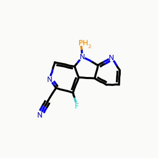 N#Cc1ncc2c(c1F)c1cccnc1n2P